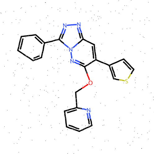 c1ccc(-c2nnc3cc(-c4ccsc4)c(OCc4ccccn4)nn23)cc1